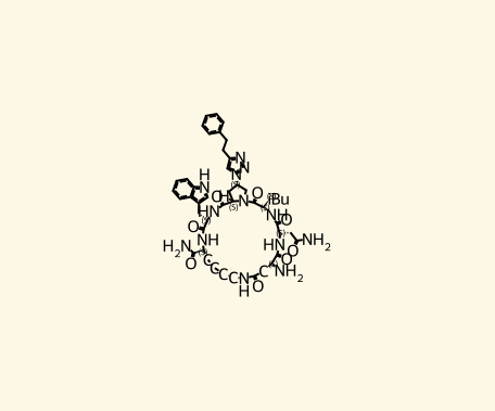 CC[C@H](C)[C@@H]1NC(=O)[C@H](CC(N)=O)NC(=O)[C@@H](N)CC(=O)NCCCC[C@@H](C(N)=O)NC(=O)[C@H](Cc2c[nH]c3ccccc23)NC(=O)[C@@H]2C[C@H](n3cc(CCc4ccccc4)nn3)CN2C1=O